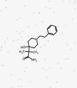 CC(C)(C(N)=O)C1(O)CCN(CCc2ccccc2)CC1